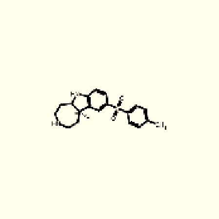 Cc1ccc(S(=O)(=O)c2ccc3c(c2)[C@H]2CCNCCC2N3)cc1